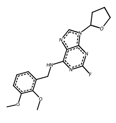 COc1cccc(CNc2nc(F)nc3c2ncn3C2CCCO2)c1OC